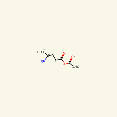 N[C@H](CCC(=O)OC(=O)C=O)C(=O)O